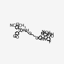 Cc1c(N2CC(NCCCOCCCCOc3ccc([C@H]4Nc5cc(F)cc6c(=O)[nH]nc(c56)[C@@H]4c4ncnn4C)cc3)CC2c2ccc3c(c2)OCO3)ccc(C#N)c1Cl